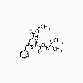 CCOC(=O)CCN(Cc1ccccc1)SN(C)C(=O)O/N=C(/C)SC